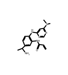 C=CC(=O)Nc1cc(C(C)N)ccc1Nc1cc(N(C)C)ncn1